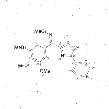 CO/N=C(\c1cc(OC)c(OC)c(OC)c1)c1csc(-c2ccccc2)n1